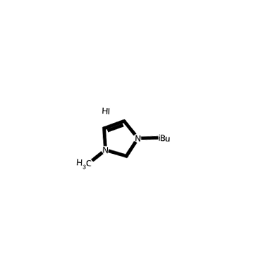 CCC(C)N1C=CN(C)C1.I